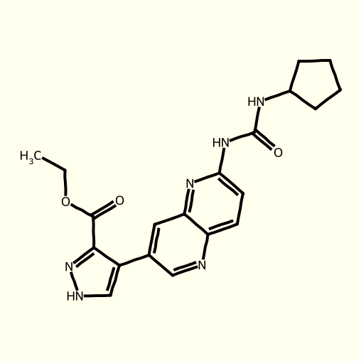 CCOC(=O)c1n[nH]cc1-c1cnc2ccc(NC(=O)NC3CCCC3)nc2c1